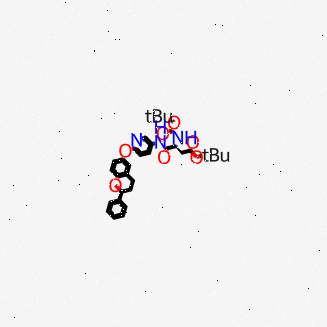 CC(C)(C)OC(=O)C[C@H](NC(=O)OC(C)(C)C)C(=O)Nc1ccc(Oc2ccc3c(c2)CCC(c2ccccc2)O3)nc1